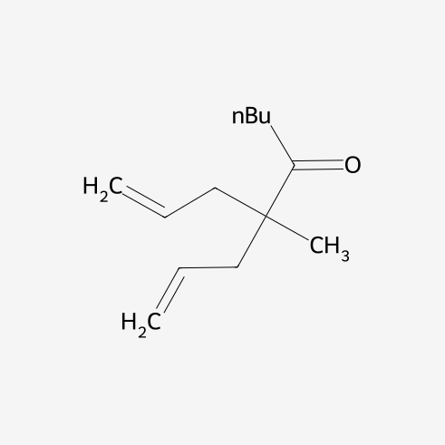 C=CCC(C)(CC=C)C(=O)CCCC